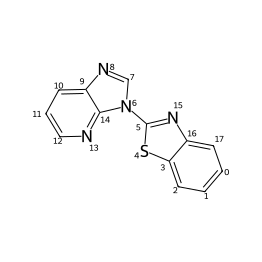 c1ccc2sc(-n3cnc4cccnc43)nc2c1